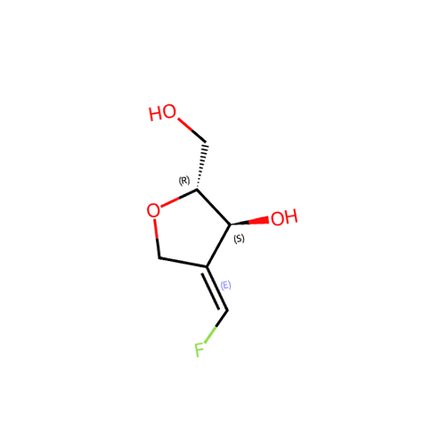 OC[C@H]1OC/C(=C\F)[C@@H]1O